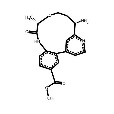 COC(=O)c1ccc2c(c1)-c1ccnc(c1)[C@@H](N)CCC[C@@H](C)C(=O)N2